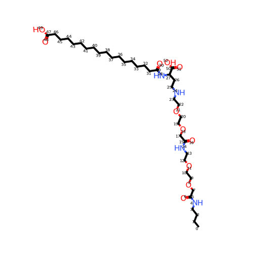 CCCCNC(=O)COCCOCCNC(=O)COCCOCCNCCC(NC(=O)CCCCCCCCCCCCCCCCC(=O)O)C(=O)O